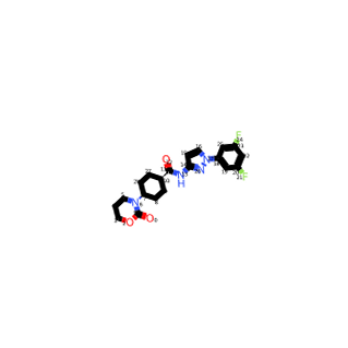 O=C1OCCCN1[C@H]1CC[C@@H](C(=O)Nc2ccn(-c3cc(F)cc(F)c3)n2)CC1